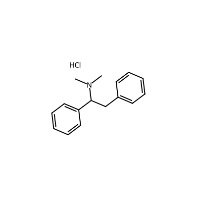 CN(C)C(Cc1ccccc1)c1ccccc1.Cl